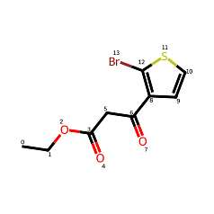 CCOC(=O)CC(=O)c1ccsc1Br